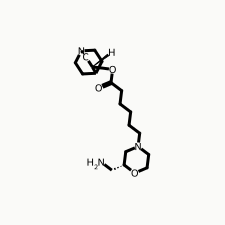 NC[C@@H]1CN(CCCCCC(=O)O[C@H]2CN3CCC2CC3)CCO1